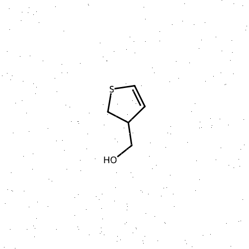 OCC1C=CSC1